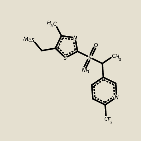 CSCc1sc(S(=N)(=O)C(C)c2ccc(C(F)(F)F)nc2)nc1C